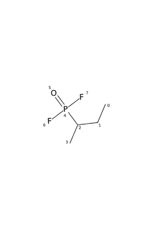 CCC(C)P(=O)(F)F